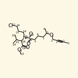 CC#CCOC(C)CCCS(=O)(=O)N(CCCCl)C(C(=O)OC)C(C)C